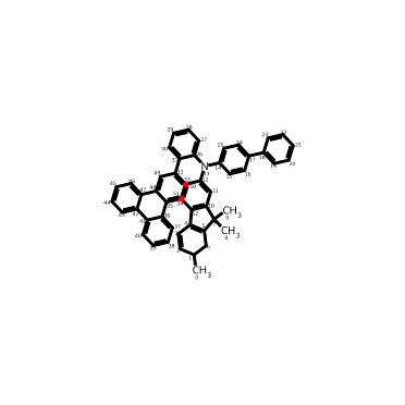 CC1C=CC2=C(C1)C(C)(C)c1cc(N(c3ccc(-c4ccccc4)cc3)c3ccccc3-c3ccc4c5ccccc5c5ccccc5c4c3)ccc12